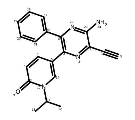 C#Cc1nc(-c2ccc(=O)n(C(C)C)c2)c(-c2ccccc2)nc1N